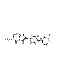 Cc1ccc2sc(-c3ccc(N4CCCC(F)C4)nc3)nc2n1